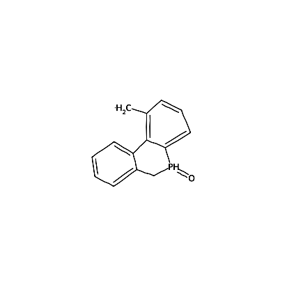 [CH2]c1cccc2c1-c1ccccc1C[PH]2=O